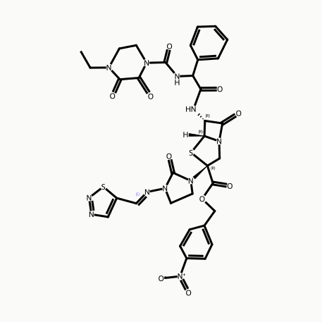 CCN1CCN(C(=O)NC(C(=O)N[C@@H]2C(=O)N3C[C@@](C(=O)OCc4ccc([N+](=O)[O-])cc4)(N4CCN(/N=C/c5cnns5)C4=O)S[C@H]23)c2ccccc2)C(=O)C1=O